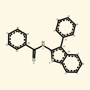 O=C(Nc1sc2ccccc2c1-c1ccccc1)c1ccccc1